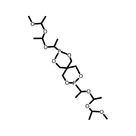 COC(C)OC(C)OC(C)P1OCC2(CO1)COP(C(C)OC(C)OC(C)OC)OC2